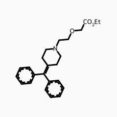 CCOC(=O)COCCN1CCC(=C(c2ccccc2)c2ccccc2)CC1